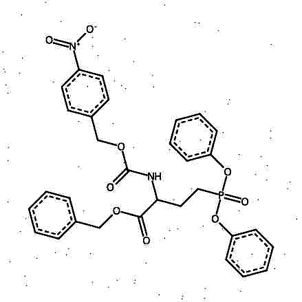 O=C(NC(CCP(=O)(Oc1ccccc1)Oc1ccccc1)C(=O)OCc1ccccc1)OCc1ccc([N+](=O)[O-])cc1